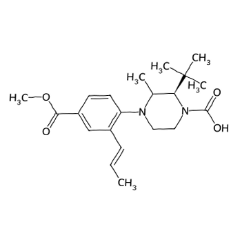 CC=Cc1cc(C(=O)OC)ccc1N1CCN(C(=O)O)[C@H](C(C)(C)C)C1C